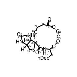 CCCCCCCCCCCC1NC(=O)[C@@]2(CCCCC(=O)OOOOO1)SC[C@@H]1NC(=O)N[C@@H]12